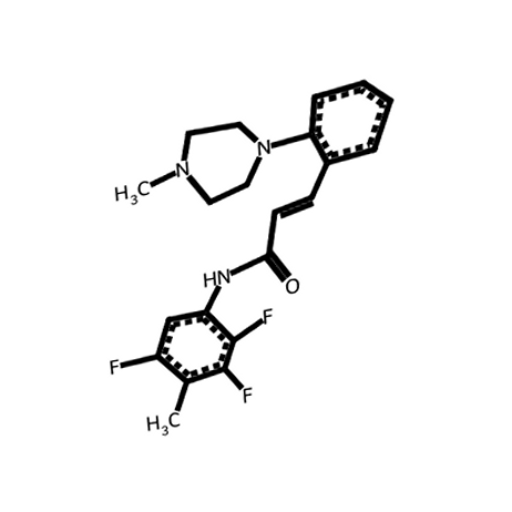 Cc1c(F)cc(NC(=O)C=Cc2ccccc2N2CCN(C)CC2)c(F)c1F